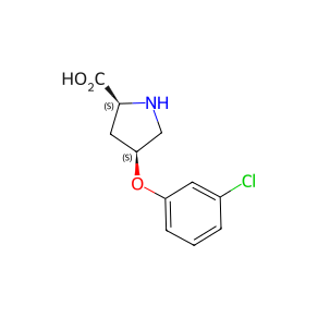 O=C(O)[C@@H]1C[C@H](Oc2cccc(Cl)c2)CN1